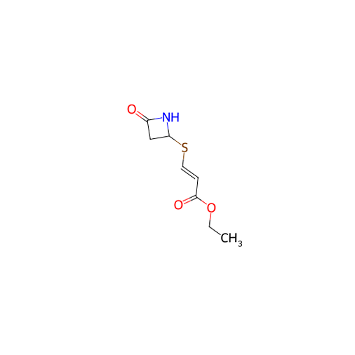 CCOC(=O)C=CSC1CC(=O)N1